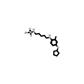 Cc1cc(OC2CCCC2)ccc1NCCCCCNS(=O)(=O)C(C)C